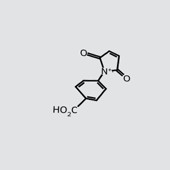 O=C(O)c1ccc([N+]2C(=O)C=CC2=O)cc1